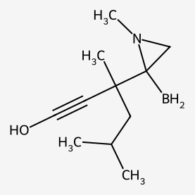 BC1(C(C)(C#CO)CC(C)C)CN1C